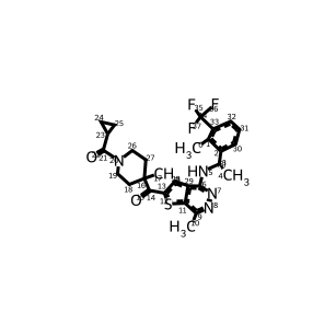 Cc1c([C@@H](C)Nc2nnc(C)c3sc(C(=O)C4(C)CCN(C(=O)C5CC5)CC4)cc23)cccc1C(F)(F)F